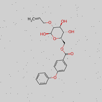 C=CCO[C@@H]1[C@@H](O)[C@H](O)[C@@H](COC(=O)c2ccc(Oc3ccccc3)cc2)O[C@H]1O